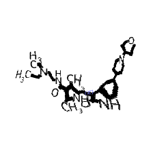 CCN(CC)CCNC(=O)c1c(C)[nH]c(/C=C2\C(=O)Nc3ccc(C4CCN(C5CCOCC5)CC4)cc32)c1C